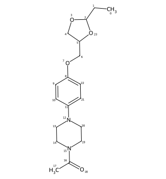 CCC1OCC(COc2ccc(N3CCN(C(C)=O)CC3)cc2)O1